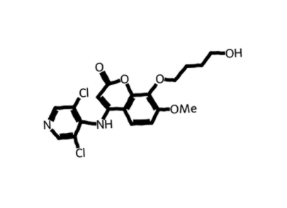 COc1ccc2c(Nc3c(Cl)cncc3Cl)cc(=O)oc2c1OCCCCO